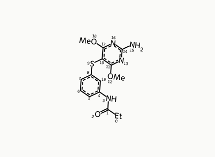 CCC(=O)Nc1cccc(Sc2c(OC)nc(N)nc2OC)c1